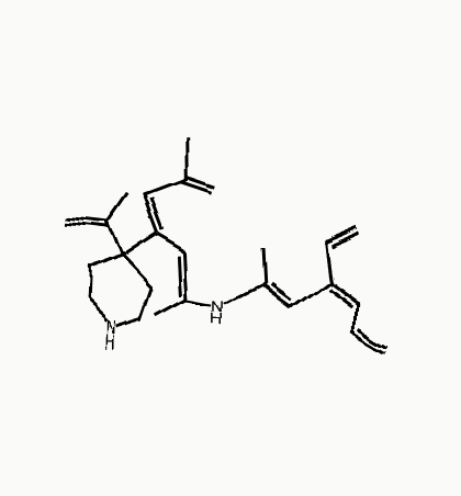 C=C/C=C(C=C)\C=C(/C)N/C(C)=C/C(=C\C(=C)C)C1(C(=C)C)CCNCC1